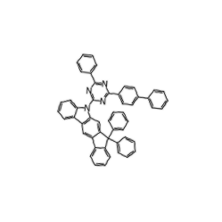 c1ccc(-c2ccc(-c3nc(-c4ccccc4)nc(-n4c5ccccc5c5cc6c(cc54)C(c4ccccc4)(c4ccccc4)c4ccccc4-6)n3)cc2)cc1